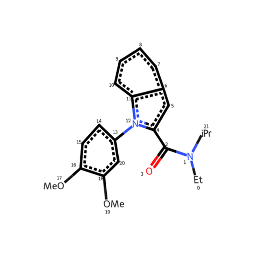 CCN(C(=O)c1cc2ccccc2n1-c1ccc(OC)c(OC)c1)C(C)C